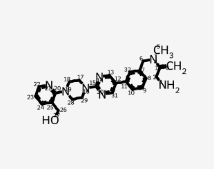 C=C(CN)N(C)Cc1cccc(-c2cnc(N3CCN(c4ncccc4CO)CC3)nc2)c1